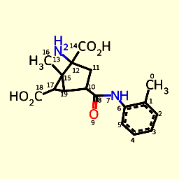 Cc1ccccc1NC(=O)C1CC(N)(C(=O)O)C2(C)C(C(=O)O)C12